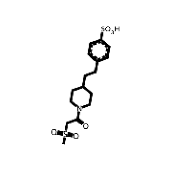 CS(=O)(=O)CC(=O)N1CCC(CCc2ccc(S(=O)(=O)O)cc2)CC1